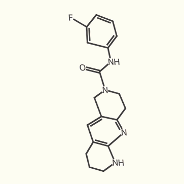 O=C(Nc1cccc(F)c1)N1CCc2nc3c(cc2C1)CCCN3